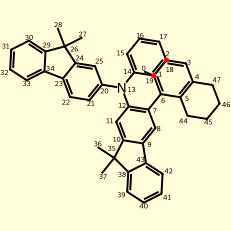 Cc1ccc2c(c1-c1cc3c(cc1N(c1ccccc1)c1ccc4c(c1)C(C)(C)c1ccccc1-4)C(C)(C)c1ccccc1-3)CCCC2